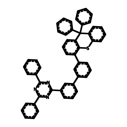 c1ccc(-c2nc(-c3ccccc3)nc(-c3cccc(-c4cccc(-c5cccc6c5Sc5ccccc5C6(c5ccccc5)c5ccccc5)c4)c3)n2)cc1